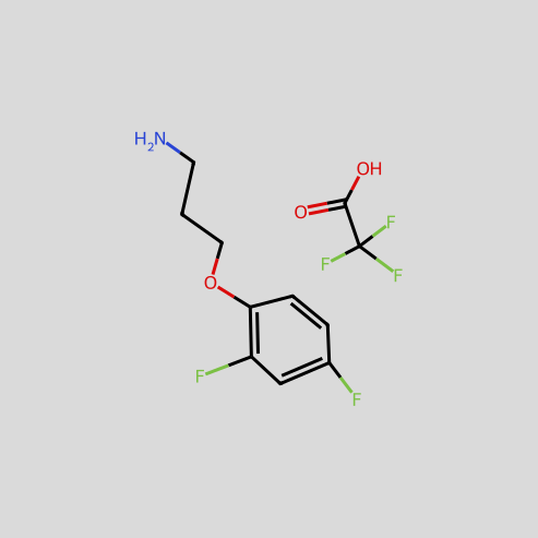 NCCCOc1ccc(F)cc1F.O=C(O)C(F)(F)F